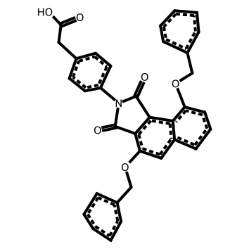 O=C(O)Cc1ccc(N2C(=O)c3c(OCc4ccccc4)cc4cccc(OCc5ccccc5)c4c3C2=O)cc1